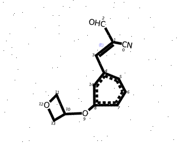 N#C/C(C=O)=C\c1cccc(OC2COC2)c1